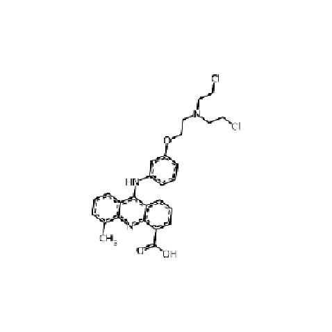 Cc1cccc2c(Nc3cccc(OCCN(CCCl)CCCl)c3)c3cccc(C(=O)O)c3nc12